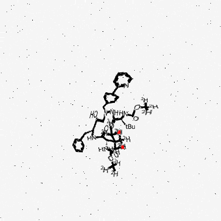 [2H]C([2H])([2H])OC(=O)N[C@H](C(=O)NN(Cc1ccc(-c2ccccn2)cc1)C[C@H](O)[C@H](Cc1ccccc1)NC(=O)[C@@H](NC(=O)OC([2H])([2H])[2H])C(C([2H])([2H])[2H])(C([2H])([2H])[2H])C([2H])([2H])[2H])C(C)(C)C